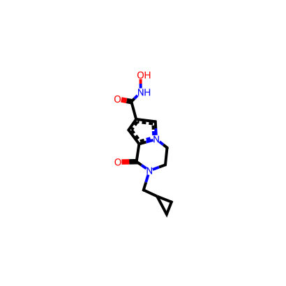 O=C(NO)c1cc2n(c1)CCN(CC1CC1)C2=O